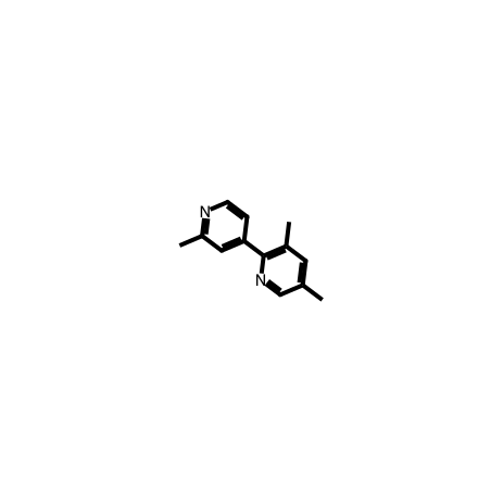 Cc1cnc(-c2ccnc(C)c2)c(C)c1